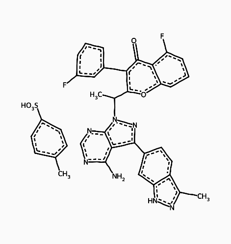 Cc1ccc(S(=O)(=O)O)cc1.Cc1n[nH]c2cc(-c3nn(C(C)c4oc5cccc(F)c5c(=O)c4-c4cccc(F)c4)c4ncnc(N)c34)ccc12